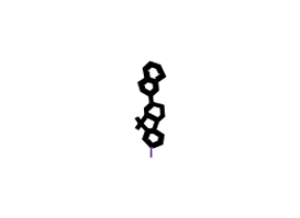 CC1(C)C2=C(CCC(c3ccc4ccccc4c3)=C2)c2ccc(I)cc21